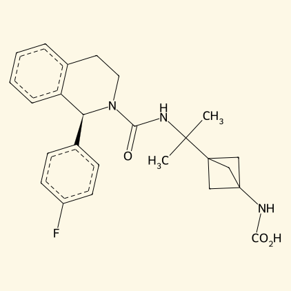 CC(C)(NC(=O)N1CCc2ccccc2[C@@H]1c1ccc(F)cc1)C12CC(NC(=O)O)(C1)C2